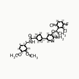 COc1ccc(CNC(=O)c2ccc(-c3cnc(N)c(OC(C)c4c(Cl)ccc(F)c4Cl)c3)cc2)cc1OC